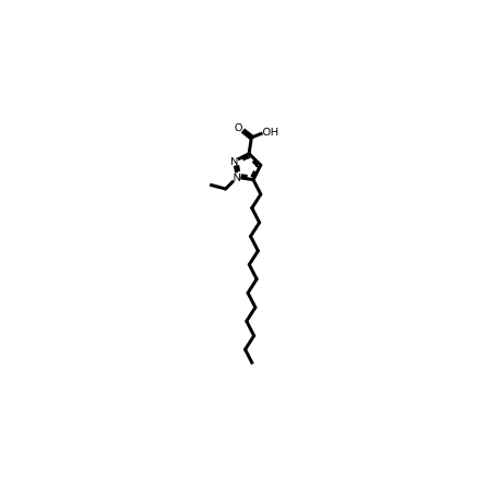 CCCCCCCCCCCCCc1cc(C(=O)O)nn1CC